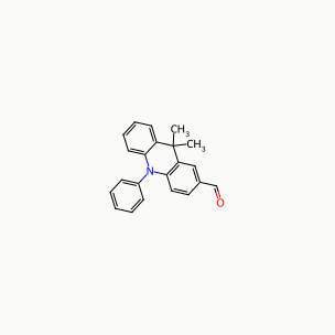 CC1(C)c2ccccc2N(c2ccccc2)c2ccc(C=O)cc21